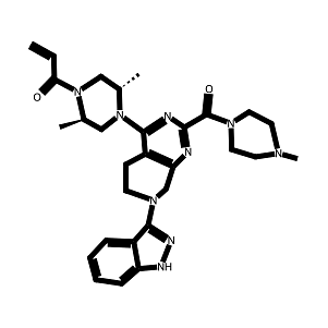 C=CC(=O)N1C[C@H](C)N(c2nc(C(=O)N3CCN(C)CC3)nc3c2CCN(c2n[nH]c4ccccc24)C3)C[C@H]1C